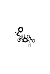 C[C@H](CNC(=O)c1ccc2c(c1)OCC(=O)N2)c1ccccc1